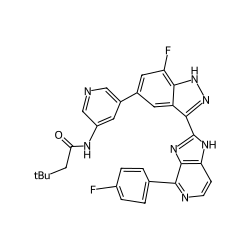 CC(C)(C)CC(=O)Nc1cncc(-c2cc(F)c3[nH]nc(-c4nc5c(-c6ccc(F)cc6)nccc5[nH]4)c3c2)c1